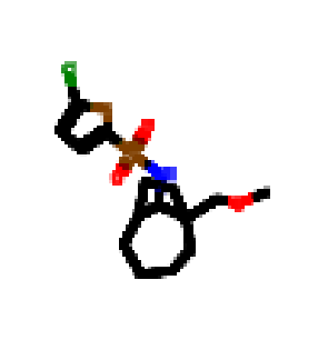 COCC12CCCCC(CC1)C2NS(=O)(=O)c1ccc(Cl)s1